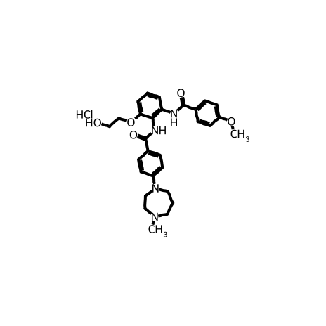 COc1ccc(C(=O)Nc2cccc(OCCO)c2NC(=O)c2ccc(N3CCCN(C)CC3)cc2)cc1.Cl